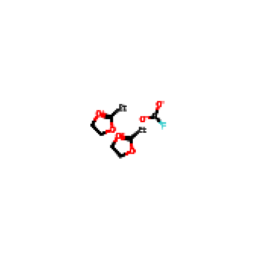 CCC1=[O+]CCO1.CCC1=[O+]CCO1.[O-]B([O-])F